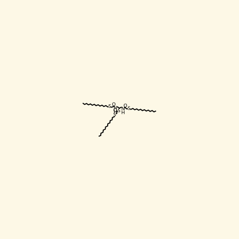 CCCCCCCCCCCCCCSCC(=O)NCC(CNC(=O)CSCCCCCCCCCCCCCC)SC(=O)CSCCCCCCCCCCCCCC